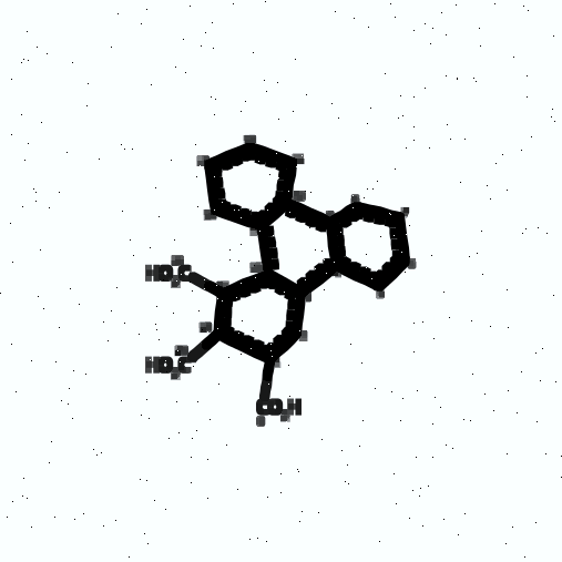 O=C(O)c1cc2c3ccccc3c3ccccc3c2c(C(=O)O)c1C(=O)O